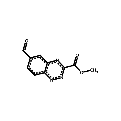 COC(=O)c1nnc2ccc(C=O)cc2n1